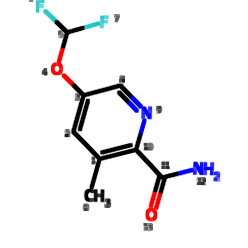 Cc1cc(OC(F)F)cnc1C(N)=O